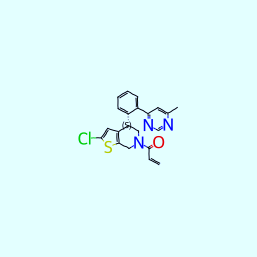 C=CC(=O)N1Cc2sc(Cl)cc2[C@H](c2ccccc2-c2cc(C)ncn2)C1